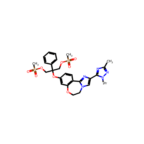 Cc1nc(-c2cn3c(n2)-c2ccc(OC(COS(C)(=O)=O)(COS(C)(=O)=O)c4ccccc4)cc2OCC3)n(C(C)C)n1